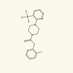 Cc1ccccc1CC(=O)N1CCN(c2ncccc2C(F)(F)F)CC1